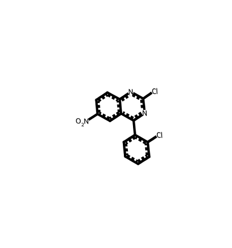 O=[N+]([O-])c1ccc2nc(Cl)nc(-c3ccccc3Cl)c2c1